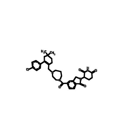 CC1(C)CCC(CN2CCCN(C(=O)c3ccc4c(c3)CN(C3CCC(=O)NC3=O)C4=O)CC2)=C(c2ccc(Cl)cc2)C1